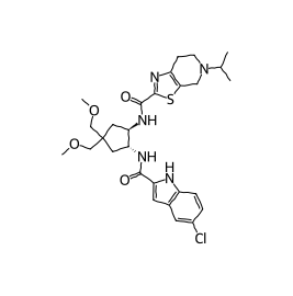 COCC1(COC)C[C@@H](NC(=O)c2cc3cc(Cl)ccc3[nH]2)[C@H](NC(=O)c2nc3c(s2)CN(C(C)C)CC3)C1